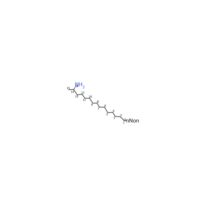 CCCCCCCCCCCCCCCCCCCCCCC(C)N